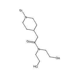 CCN1CCC(CC(=O)N(CCO)CCO)CC1